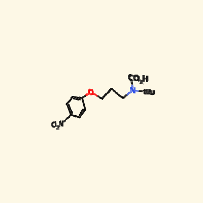 CC(C)(C)N(CCCOc1ccc([N+](=O)[O-])cc1)C(=O)O